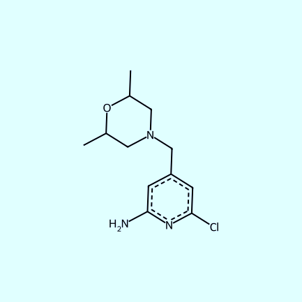 CC1CN(Cc2cc(N)nc(Cl)c2)CC(C)O1